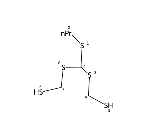 CCCSC(SCS)SCS